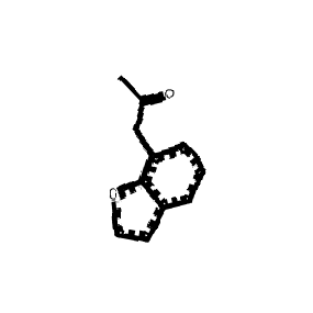 CC(=O)Cc1cccc2ccoc12